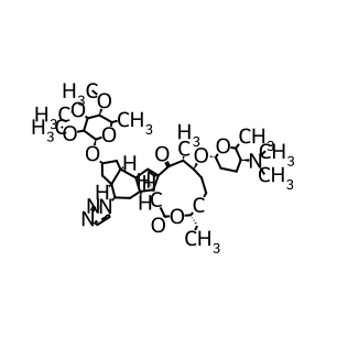 CC[C@H]1CCC[C@H](O[C@H]2CC[C@H](N(C)C)C(C)O2)[C@@H](C)C(=O)C2=C[C@@H]3[C@@H](C[C@@H](n4ccnn4)[C@@H]4C[C@@H](O[C@@H]5OC(C)[C@H](OC)C(OC)C5OC)C[C@@H]34)[C@@H]2CC(=O)O1